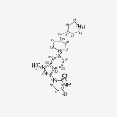 Cn1nc(N2CCC(=O)NC2=O)c2ccc(N3CCC(CC4CCNCC4)CC3)cc21